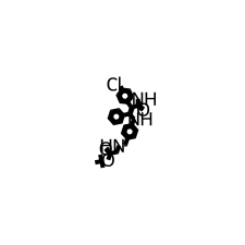 CC(C)(C)OC(=O)CNCc1ccc(N/C(=C2\C(=O)Nc3cc(Cl)ccc32)c2ccccc2)cc1